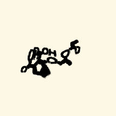 C=CC(=O)OC(C)COc1cccc(C(=O)O)c1C(=O)O